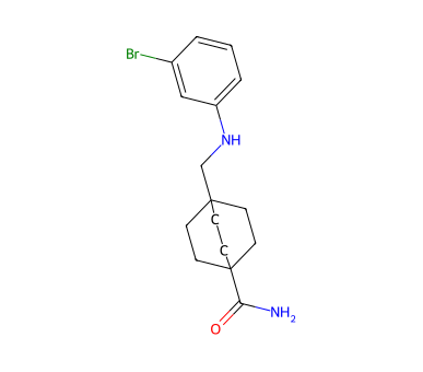 NC(=O)C12CCC(CNc3cccc(Br)c3)(CC1)CC2